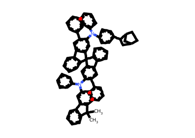 CC1(C)c2ccccc2-c2cc(N(c3ccccc3)c3cc4c(cc3-c3ccccc3)-c3ccccc3C43c4ccccc4-c4cc(-c5ccccc5)c(N(c5ccccc5)c5ccc(C6CC7CCC6C7)cc5)cc43)ccc21